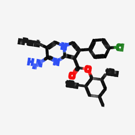 CCCCCc1cn2cc(-c3ccc(Cl)cc3)c(C(=O)OC3C(C(C)(C)C)CC(C)CC3C(C)(C)C)c2nc1N